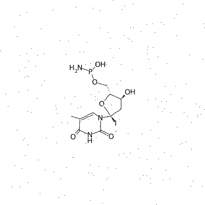 Cc1cn([C@@]2(I)C[C@H](O)[C@@H](COP(N)O)O2)c(=O)[nH]c1=O